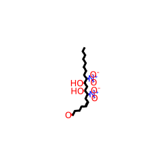 CCCCCCCCC(C(O)CC(O)C(C/C=C\CCCC=O)[N+](=O)[O-])[N+](=O)[O-]